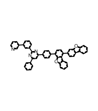 c1ccc(-c2cc(-c3ccc(-c4ccc(-c5ccc6c(c5)oc5ccccc56)c5c4oc4ccccc45)cc3)nc(-c3cccc(-c4cccnc4)c3)n2)cc1